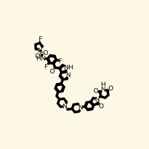 O=C1CCC(N2Cc3cc(N4CCC(CN5CCC(Cc6ccc(-c7cnc8[nH]cc(C(=O)c9c(F)ccc(NS(=O)(=O)N%10CC[C@@H](F)C%10)c9F)c8c7)cc6)CC5)CC4)ccc3C2=O)C(=O)N1